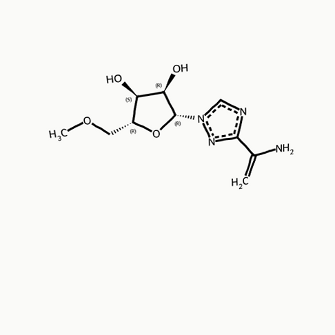 C=C(N)c1ncn([C@@H]2O[C@H](COC)[C@@H](O)[C@H]2O)n1